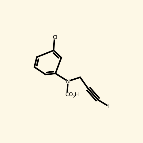 O=C(O)N(CC#CI)c1cccc(Cl)c1